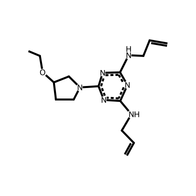 C=CCNc1nc(NCC=C)nc(N2CCC(OCC)C2)n1